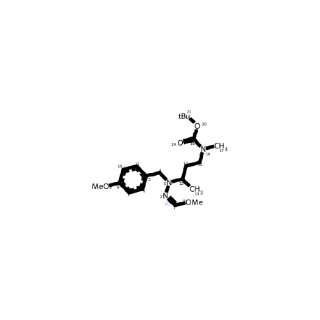 CO/C=N\N(Cc1ccc(OC)cc1)C(C)CCN(C)C(=O)OC(C)(C)C